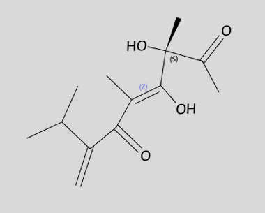 C=C(C(=O)/C(C)=C(\O)[C@](C)(O)C(C)=O)C(C)C